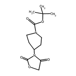 CC(C)(C)OC(=O)N1CCC(N2C(=O)COC2=O)CC1